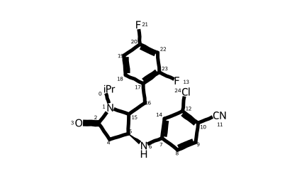 CC(C)N1C(=O)C[C@H](Nc2ccc(C#N)c(Cl)c2)C1Cc1ccc(F)cc1F